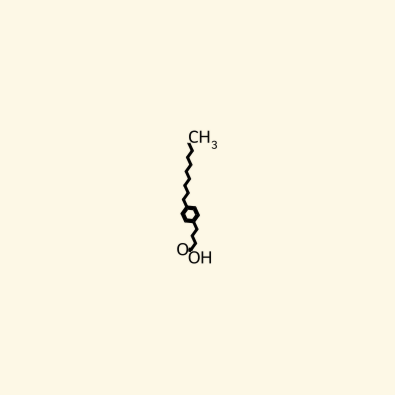 CCCCCCCCCCc1ccc(CCCC(=O)O)cc1